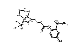 NC(=O)c1cc(Cl)ccc1NC(=O)CCCn1nc(C(F)(F)F)c2c1CCCC2